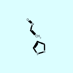 C1=CSSC1.C=CN=O